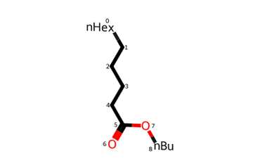 CCCCCCCCCCC(=O)OCCCC